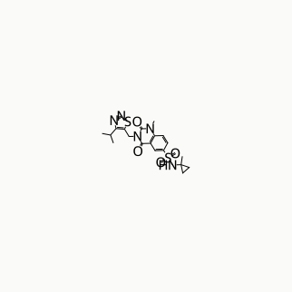 CC(C)c1nnsc1Cn1c(=O)c2cc(S(=O)(=O)NC3(C)CC3)ccc2n(C)c1=O